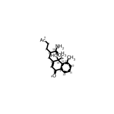 CC(=O)CCC(CC1=CC(=O)c2cccc(C)c2C1(C)O)C(N)=O